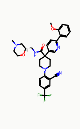 COc1ccccc1-c1ccc(C2(C(=O)NC[C@H]3CN(C)CCO3)CCN(c3ccc(C(F)(F)F)cc3C#N)CC2)cn1